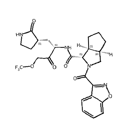 O=C1NCC[C@H]1C[C@H](NC(=O)[C@@H]1[C@H]2CCC[C@H]2CN1C(=O)c1noc2ccccc12)C(=O)COC(F)(F)F